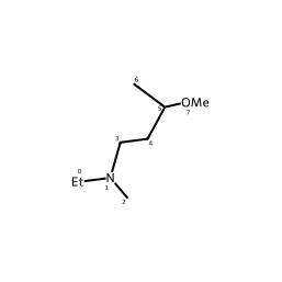 CCN(C)CCC(C)OC